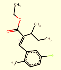 CCOC(=O)/C(=C/c1cc(F)ccc1C)C(C)CC